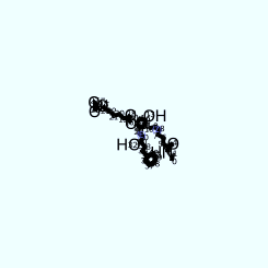 CCNC(=O)CCC/C=C\C[C@H]1[C@@H](O)CC(OC(=O)CCCCCO[N+](=O)[O-])[C@@H]1/C=C/[C@@H](O)CCc1ccccc1